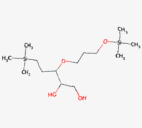 C[Si](C)(C)CCC(OCCCO[Si](C)(C)C)C(O)CO